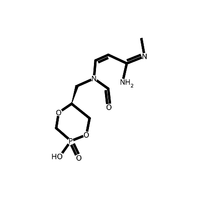 C/N=C(N)\C=C/N(C=O)C[C@H]1COP(=O)(O)CO1